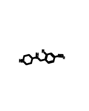 O=[N+]([O-])c1ccc(CNC2CCNCC2)c(F)c1